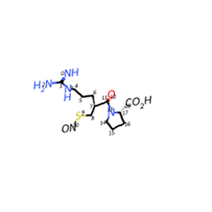 N=C(N)NCCC[C@H](CSN=O)C(=O)N1CCC[C@H]1C(=O)O